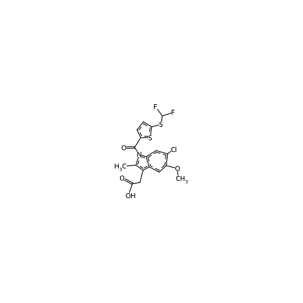 COc1cc2c(CC(=O)O)c(C)n(C(=O)c3ccc(SC(F)F)s3)c2cc1Cl